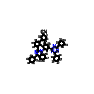 N#Cc1ccc(-c2cccc(-c3nc(-c4ccccc4)nc(-c4ccccc4)n3)c2)c(-c2cccc(-c3nc(-c4ccccc4)c4ccccc4n3)c2)c1